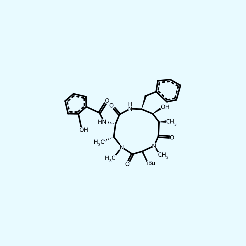 CCC(C)C1C(=O)N(C)[C@H](C)[C@H](NC(=O)c2ccccc2O)C(=O)N[C@@H](Cc2ccccc2)[C@@H](O)[C@@H](C)C(=O)N1C